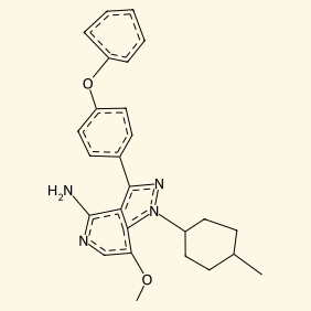 COc1cnc(N)c2c(-c3ccc(Oc4ccccc4)cc3)nn(C3CCC(C)CC3)c12